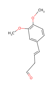 COc1ccc(C=CCC=O)cc1OC